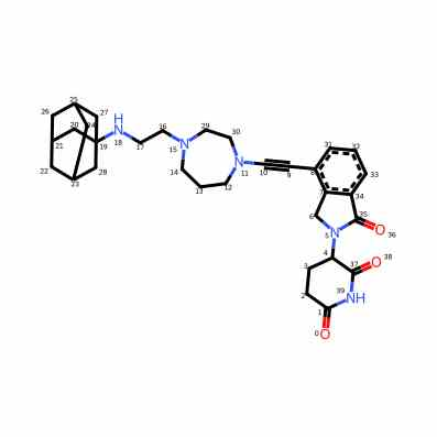 O=C1CCC(N2Cc3c(C#CN4CCCN(CCNC56CC7CC(CC(C7)C5)C6)CC4)cccc3C2=O)C(=O)N1